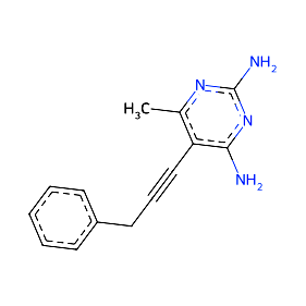 Cc1nc(N)nc(N)c1C#CCc1ccccc1